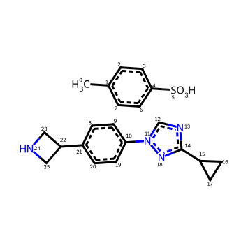 Cc1ccc(S(=O)(=O)O)cc1.c1cc(-n2cnc(C3CC3)n2)ccc1C1CNC1